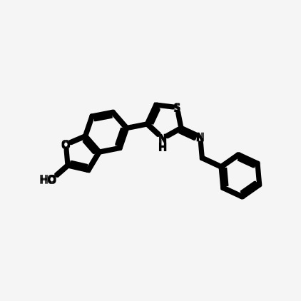 Oc1cc2cc(-c3csc(=NCc4ccccc4)[nH]3)ccc2o1